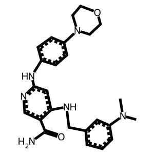 CN(C)c1cccc(CNc2cc(Nc3ccc(N4CCOCC4)cc3)ncc2C(N)=O)c1